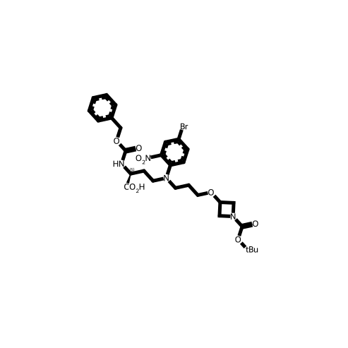 CC(C)(C)OC(=O)N1CC(OCCCN(CC[C@H](NC(=O)OCc2ccccc2)C(=O)O)c2ccc(Br)cc2[N+](=O)[O-])C1